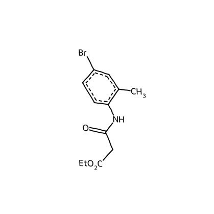 CCOC(=O)CC(=O)Nc1ccc(Br)cc1C